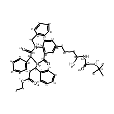 CCOC(=O)CC(c1ccccc1)N1C(=O)c2cc(CCCC(S)NC(=O)OC(C)(C)C)ccc2N(Cc2ccccc2)C(=O)C1c1ccccc1